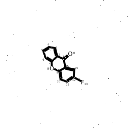 O=c1c2ccccc2oc2ccc(F)cc12